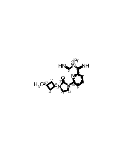 CC(C)N(C=N)C(=N)c1cccc(N2CCN([C@H]3C[C@H](C)C3)C2=O)n1